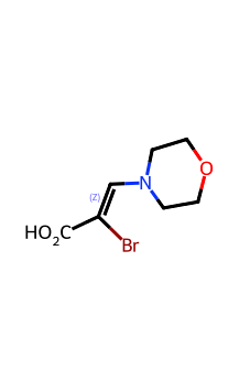 O=C(O)/C(Br)=C/N1CCOCC1